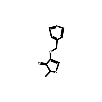 CC1SC=C(OCc2ccncc2)C1=O